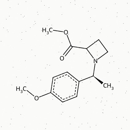 COC(=O)C1CCN1[C@@H](C)c1ccc(OC)cc1